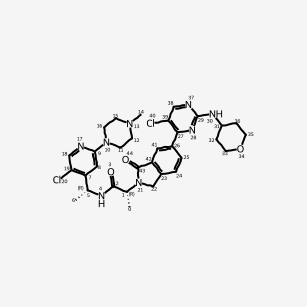 C[C@H](C(=O)N[C@H](C)c1cc(N2CCN(C)CC2)ncc1Cl)N1Cc2ccc(-c3nc(NC4CCOCC4)ncc3Cl)cc2C1=O